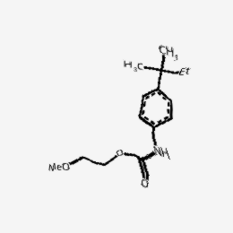 CCC(C)(C)c1ccc(NC(=O)OCCOC)cc1